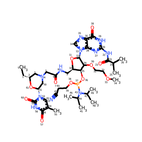 CC[C@@H]1CN(CC(=O)NC[C@H]2O[C@@H](n3cnc4c(=O)[nH]c(NC(=O)C(C)C)nc43)C(OCCOC)[C@H]2OP(OCCC#N)N(C(C)C)C(C)C)C[C@H](n2cc(C)c(=O)[nH]c2=O)O1